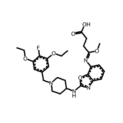 CCOc1cc(CN2CCC(Nc3nc4cccc(N=C(CCC(=O)O)OC)c4o3)CC2)cc(OCC)c1F